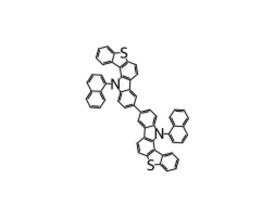 c1ccc2c(-n3c4ccc(-c5ccc6c(c5)c5ccc7sc8ccccc8c7c5n6-c5cccc6ccccc56)cc4c4ccc5sc6ccccc6c5c43)cccc2c1